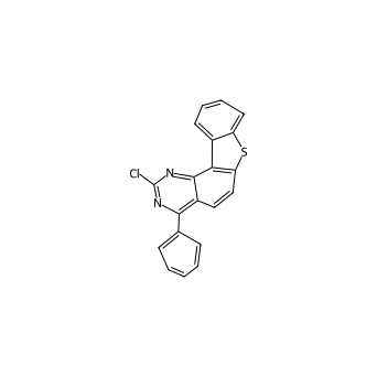 Clc1nc(-c2ccccc2)c2ccc3sc4ccccc4c3c2n1